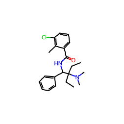 CCC(CC)(C(NC(=O)c1cccc(Cl)c1C)c1ccccc1)N(C)C